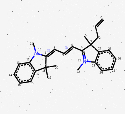 C=CCC1(C)C(/C=C/C=C2/N(C)c3ccccc3C2(C)C)=[N+](C)c2ccccc21